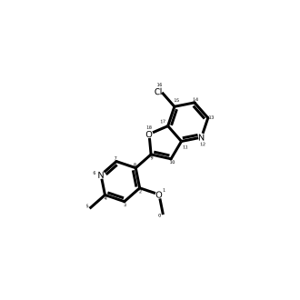 COc1cc(C)ncc1-c1cc2nccc(Cl)c2o1